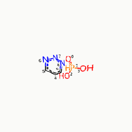 O=[PH](O)O.c1cnnnc1